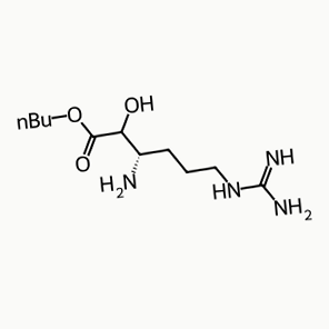 CCCCOC(=O)C(O)[C@@H](N)CCCNC(=N)N